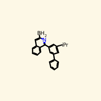 Bc1cc2ccccc2c(-c2cc(-c3ccccc3)cc(C(C)C)c2)n1